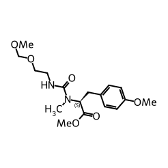 COCOCCNC(=O)N(C)[C@@H](Cc1ccc(OC)cc1)C(=O)OC